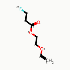 C=COCCOC(=O)CCF